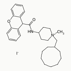 C[N+]1(CC2CCCCCCCC2)CCC(NC(=O)C2c3ccccc3Oc3ccccc32)CC1.[I-]